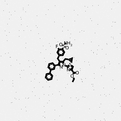 CCOC(=O)c1csc(-n2nc(-c3cccc(-c4ccccc4)c3)c(Cc3ccc(S(N)(=O)=O)c(F)c3)c2CC2CC2)n1